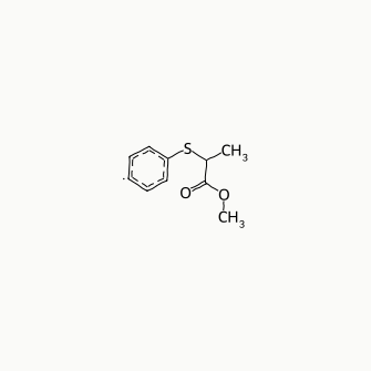 COC(=O)C(C)Sc1cc[c]cc1